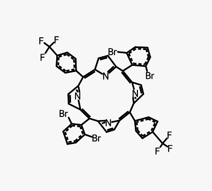 FC(F)(F)c1ccc(C2=C3C=CC(=N3)C(c3c(Br)cccc3Br)=C3C=CC(=N3)C(c3ccc(C(F)(F)F)cc3)=C3C=CC(=N3)C(c3c(Br)cccc3Br)=C3C=CC2=N3)cc1